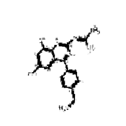 NCc1ccc(-c2nc(N=C(N)N)nc3c(F)cc(Cl)cc23)cc1